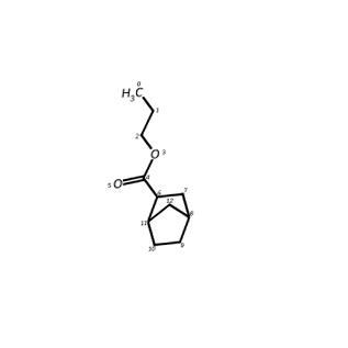 CCCOC(=O)C1CC2CCC1C2